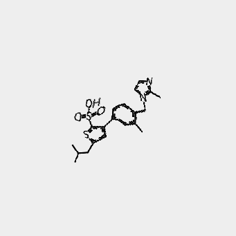 Cc1cc(-c2cc(CC(C)C)sc2S(=O)(=O)O)ccc1Cn1ccnc1C